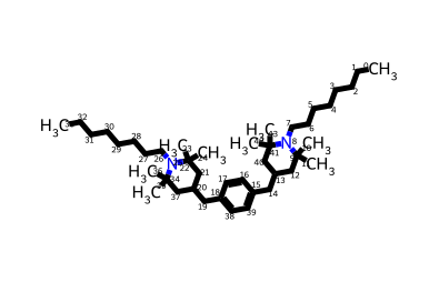 CCCCCCCCN1C(C)(C)CC(Cc2ccc(CC3CC(C)(C)N(CCCCCCCC)C(C)(C)C3)cc2)CC1(C)C